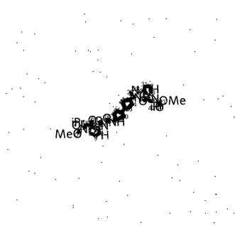 COC(=O)N[C@H](C(=O)N1CCC[C@H]1C(=O)NC(=O)Nc1ccc(-c2ccc(C3CN=C([C@@H]4CCCN4C(=O)[C@@H](NC(=O)OC)C(C)C)N3)cc2)cc1)C(C)C